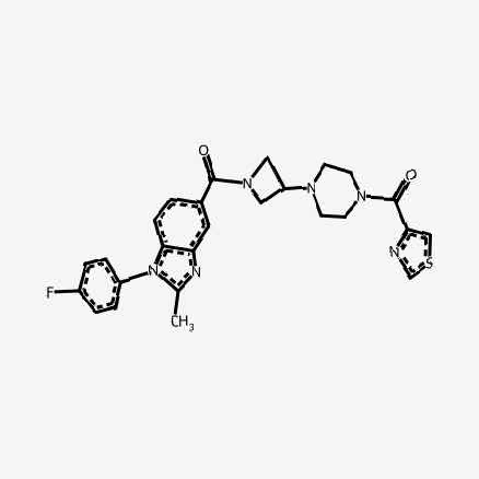 Cc1nc2cc(C(=O)N3CC(N4CCN(C(=O)c5cscn5)CC4)C3)ccc2n1-c1ccc(F)cc1